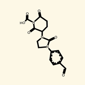 O=Cc1ccc(N2CCN(C3CCC(=O)N(C(=O)O)C3=O)C2=O)cc1